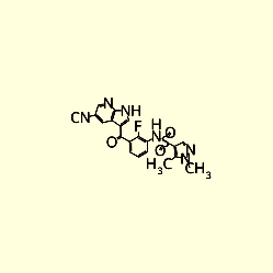 [C-]#[N+]c1cnc2[nH]cc(C(=O)c3cccc(NS(=O)(=O)c4cnn(C)c4C)c3F)c2c1